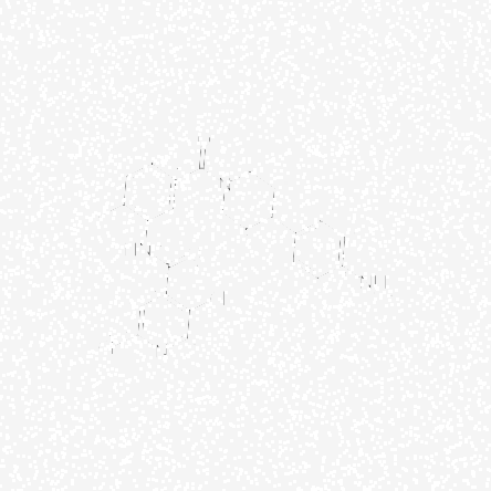 Cc1ccc(C(=O)N2CCC(c3ccc(N)cc3)CC2)cc1NC(=O)c1cc(Cl)ncc1Cl